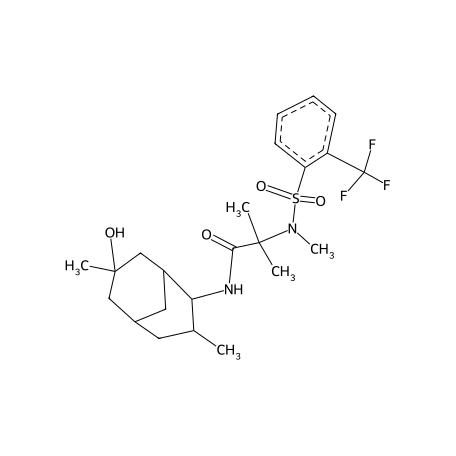 CC1CC2CC(CC(C)(O)C2)C1NC(=O)C(C)(C)N(C)S(=O)(=O)c1ccccc1C(F)(F)F